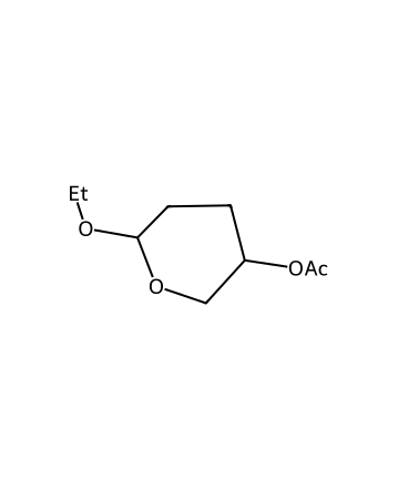 CCOC1CCC(OC(C)=O)CO1